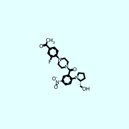 CC(=O)c1ccc(N2CCN(C(=O)c3cc([N+](=O)[O-])ccc3N3CCC[C@@H]3CO)CC2)c(F)c1